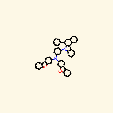 c1ccc(C2Cc3ccccc3-c3c2n(-c2cccc(N(c4ccc5c(c4)oc4ccccc45)c4ccc5c(c4)oc4ccccc45)c2)c2ccccc32)cc1